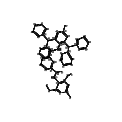 CCc1cc(C)cc(CC)c1NC(C)c1cccc(C(C)Nc2c(C(c3ccccc3)c3ccccc3)cc(C)cc2C(c2ccccc2)c2ccccc2)n1